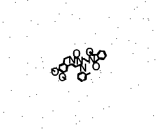 COc1cc2c(cc1OC)-c1cc(=Nc3ccccc3C)n(CCN3C(=O)c4ccccc4C3=O)c(=O)n1CC2